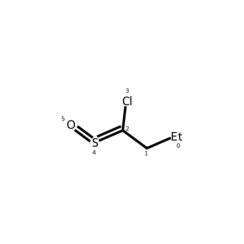 CCCC(Cl)=S=O